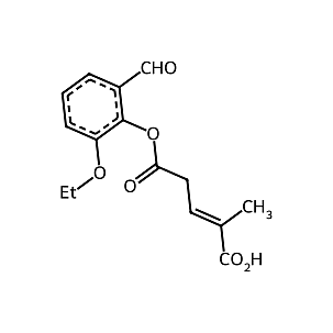 CCOc1cccc(C=O)c1OC(=O)CC=C(C)C(=O)O